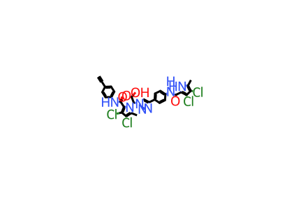 C#Cc1ccc(NC(=O)c2c(Cl)c(Cl)c(C)n2C(C(=O)O)n2cc(-c3ccc(NC(=O)c4[nH]c(C)c(Cl)c4Cl)cc3)nn2)cc1